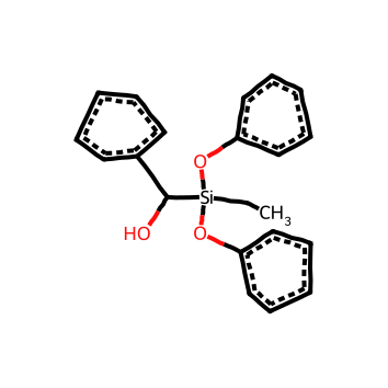 CC[Si](Oc1ccccc1)(Oc1ccccc1)C(O)c1ccccc1